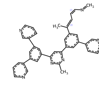 C=N/C=C\C=C(/C)c1cc(-c2cccnc2)cc(-c2cc(-c3cc(-c4cccnc4)cc(-c4cccnc4)c3)nc(C)n2)c1